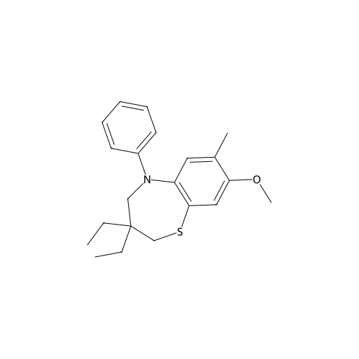 CCC1(CC)CSc2cc(OC)c(C)cc2N(c2ccccc2)C1